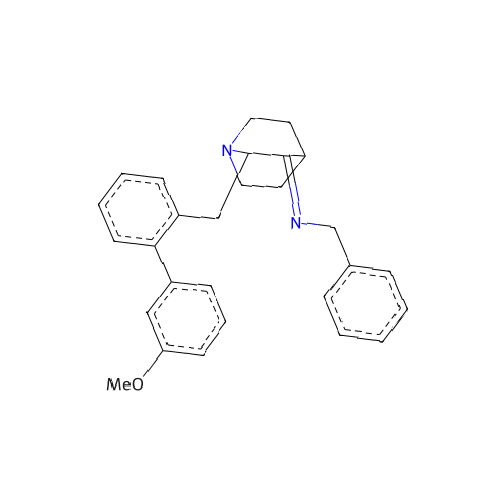 COc1cccc(-c2ccccc2CC2C(=NCc3ccccc3)C3CCN2CC3)c1